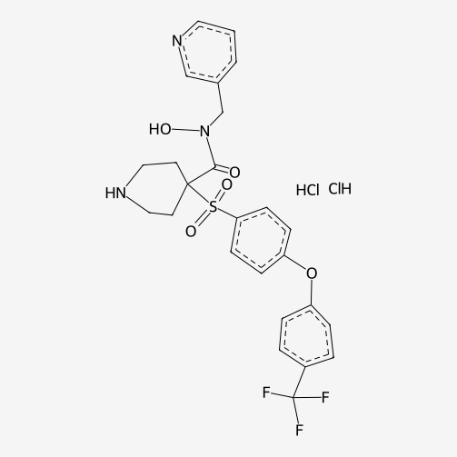 Cl.Cl.O=C(N(O)Cc1cccnc1)C1(S(=O)(=O)c2ccc(Oc3ccc(C(F)(F)F)cc3)cc2)CCNCC1